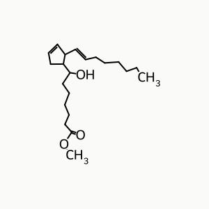 CCCCCC/C=C/C1C=CCC1C(O)CCCCCC(=O)OC